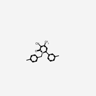 [C-]#[N+]c1c(C(F)(F)F)cc(-c2cccc(C)c2)n(Cc2ccc(C)cc2)c1=O